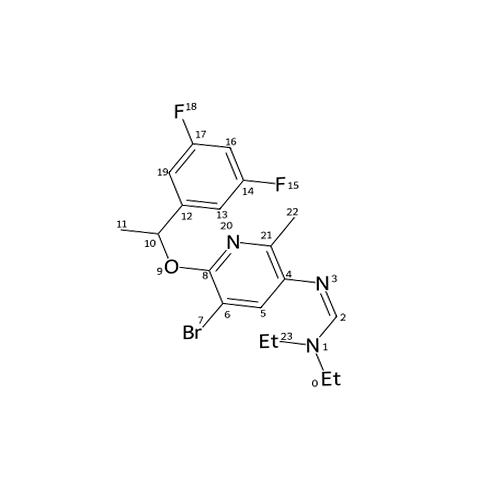 CCN(/C=N\c1cc(Br)c(OC(C)c2cc(F)cc(F)c2)nc1C)CC